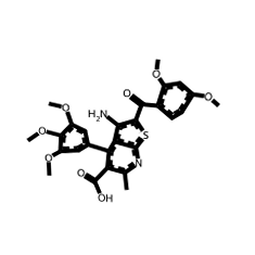 COc1ccc(C(=O)c2sc3nc(C)c(C(=O)O)c(-c4cc(OC)c(OC)c(OC)c4)c3c2N)c(OC)c1